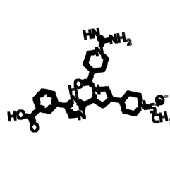 C[S+]([O-])N1CCC(C2CC(c3ncc(-c4cccc(C(=O)O)c4)[nH]3)N(C(=O)C3CCN(C(=N)N)CC3)C2)CC1